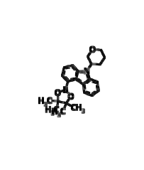 CC1(C)OB(c2cccc3c2c2ccccc2n3C2CCCOC2)OC1(C)C